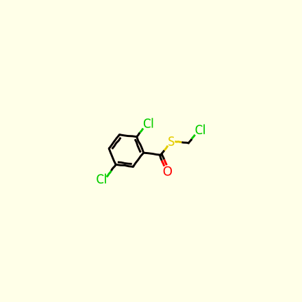 O=C(SCCl)c1cc(Cl)ccc1Cl